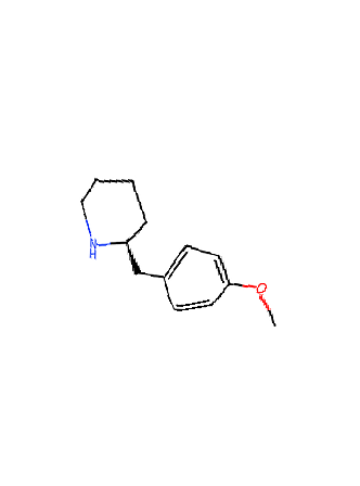 COc1ccc(C[C@@H]2CCCCN2)cc1